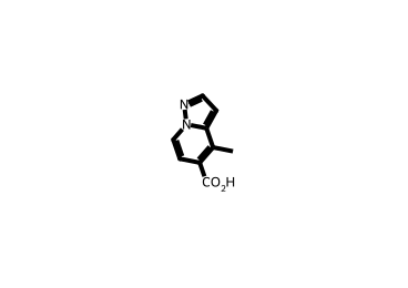 Cc1c(C(=O)O)ccn2nccc12